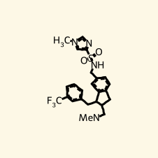 CNCC1Cc2ccc(CNS(=O)(=O)c3cn(C)cn3)cc2C1Cc1cccc(C(F)(F)F)c1